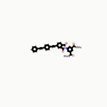 CNC(=O)c1cc(C(=O)NC)cc(N2C(=O)c3ccc(C#Cc4ccc(C#Cc5ccccc5)cc4)cc3C2=O)c1